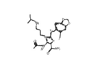 CC(=O)Nc1c(C(N)=O)nc(Sc2cc3c(cc2I)OCO3)n1CCCNC(C)C